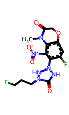 CN1C(=O)COc2cc(F)c(N3NC(=O)N(CCCF)N3)c([N+](=O)[O-])c21